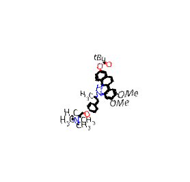 COc1cc(NC(C)Cc2ccc(OCC(C)(C)N(C)C)cc2)c(C2CCc3cc(OC(=O)C(C)(C)C)ccc3C2)cc1OC